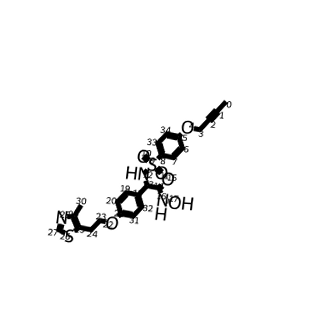 CC#CCOc1ccc(S(=O)(=O)NC(C(=O)NO)c2ccc(OCCc3scnc3C)cc2)cc1